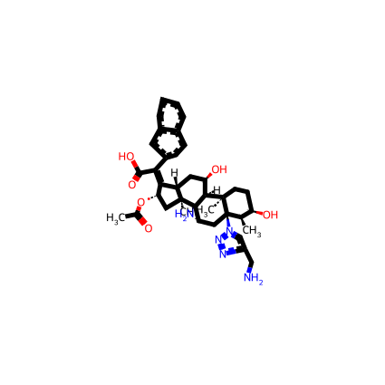 CC(=O)O[C@H]1C[C@@]2(C)[C@@H](C[C@@H](O)[C@@H]3[C@]2(N)CC[C@@]2(n4cc(CN)nn4)[C@H](C)[C@H](O)CC[C@]32C)/C1=C(/C(=O)O)c1ccc2ccccc2c1